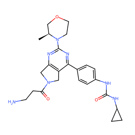 C[C@H]1COCCN1c1nc2c(c(-c3ccc(NC(=O)NC4CC4)cc3)n1)CN(C(=O)CCN)C2